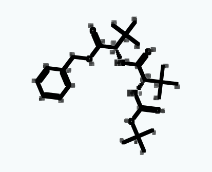 CC(C)(C)OC(=O)N[C@H](C(=O)N[C@H](C(=O)OCc1ccccc1)C(C)(C)C)C(C)(C)C